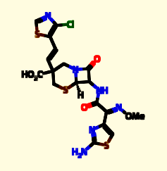 CON=C(C(=O)NC1C(=O)N2CC(C=Cc3scnc3Cl)(C(=O)O)CS[C@H]12)c1csc(N)n1